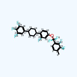 Cc1ccc(C(F)(F)Oc2ccc(C3CCC(c4cc(F)c(F)c(F)c4)CC3)c(F)c2)c(F)c1F